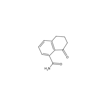 NC(=O)c1cccc2c1C(=O)CCC2